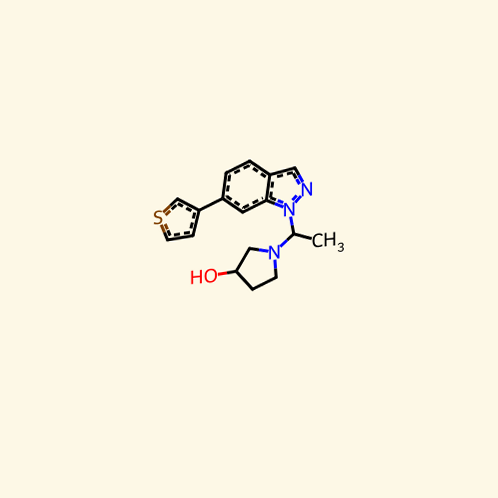 CC(N1CCC(O)C1)n1ncc2ccc(-c3ccsc3)cc21